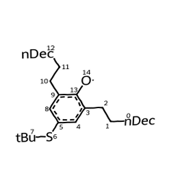 CCCCCCCCCCCCc1cc(SC(C)(C)C)cc(CCCCCCCCCCCC)c1[O]